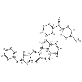 CN1CCN(C(=O)N2CCOC(c3cc(-c4ccc5cn(Cc6ccccc6)nc5c4)c4c(N)ncnn34)C2)CC1